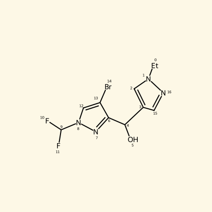 CCn1cc(C(O)c2nn(C(F)F)cc2Br)cn1